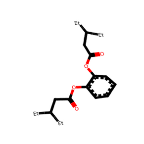 CCC(CC)CC(=O)Oc1ccccc1OC(=O)CC(CC)CC